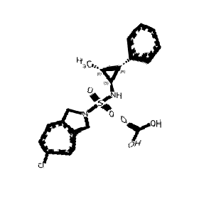 C[C@H]1[C@H](NS(=O)(=O)N2Cc3ccc(Cl)cc3C2)[C@H]1c1ccccc1.O=C(O)O